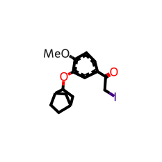 COc1ccc(C(=O)CI)cc1OC1CC2CCC1C2